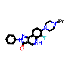 CC(C)N1CCN(c2ccc3c4nn(-c5ccccc5)c(=O)c-4c[nH]c3c2F)CC1